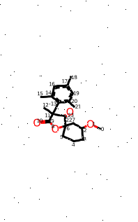 COC1CCCC2(C1)OC(=O)C(C)(c1c(C)cc(C)cc1C)C2=O